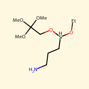 CCO[SiH](CCCN)OCC(OC)(OC)OC